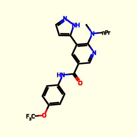 CCCN(C)c1ncc(C(=O)Nc2ccc(OC(F)(F)F)cc2)cc1-c1ccn[nH]1